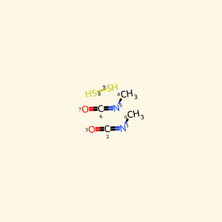 CN=C=O.CN=C=O.SS